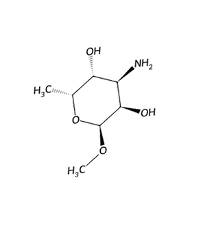 CO[C@H]1O[C@H](C)[C@H](O)[C@@H](N)[C@H]1O